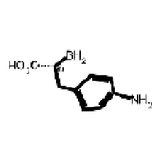 B[C@H](Cc1ccc(N)cc1)C(=O)O